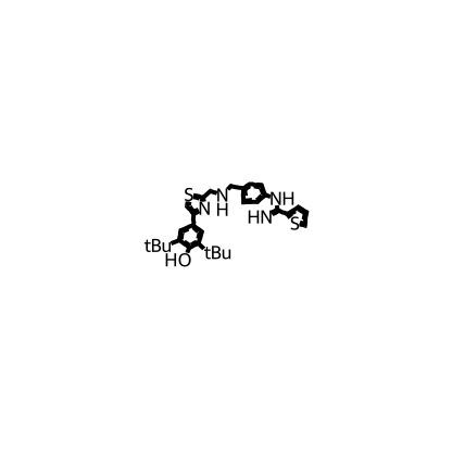 CC(C)(C)c1cc(-c2csc(CNCc3ccc(NC(=N)c4cccs4)cc3)n2)cc(C(C)(C)C)c1O